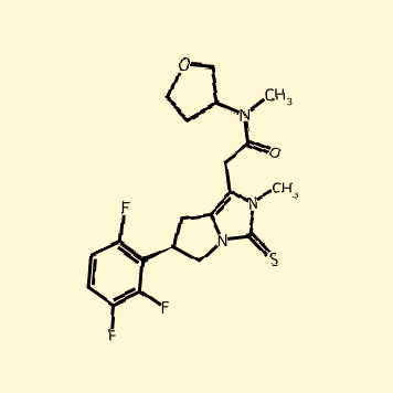 CN(C(=O)Cc1c2n(c(=S)n1C)C[C@@H](c1c(F)ccc(F)c1F)C2)C1CCOC1